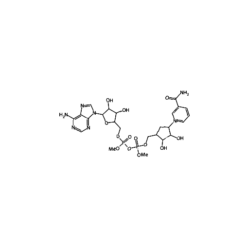 COP(=O)(OCC1CC([n+]2cccc(C(N)=O)c2)C(O)C1O)OP(=O)(OC)OCC1OC(n2cnc3c(N)ncnc32)C(O)C1O